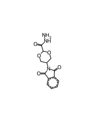 NNC(=O)C1OCC(N2C(=O)c3ccccc3C2=O)CO1